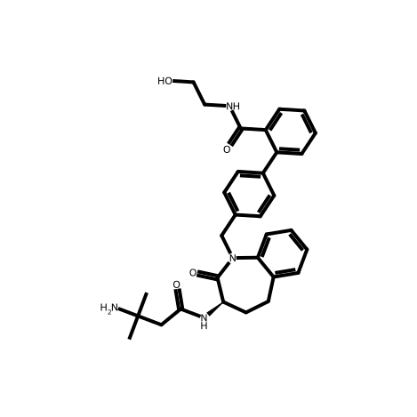 CC(C)(N)CC(=O)N[C@@H]1CCc2ccccc2N(Cc2ccc(-c3ccccc3C(=O)NCCO)cc2)C1=O